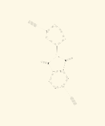 C#Cc1cccc(N2C(=O)c3ccc(C#C)cc3C2=O)c1